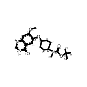 COc1cc2nc[nH]c(=O)c2cc1OC1CCC(N(C)C(=O)OC(C)(C)C)CC1